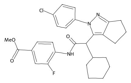 COC(=O)c1ccc(NC(=O)C(c2c3c(nn2-c2ccc(Cl)cc2)CCC3)C2CCCCC2)c(F)c1